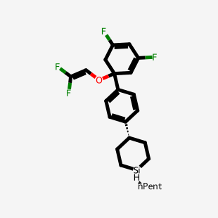 CCCCC[Si@H]1CC[C@H](c2ccc(C3(OC=C(F)F)C=C(F)C=C(F)C3)cc2)CC1